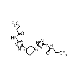 O=C(CCC(F)(F)F)Nc1nnc([C@@H]2CCC[C@@H](c3nnc(NC(=O)CCC(F)(F)F)s3)C2)s1